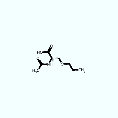 CCCSC[C@H](NC(C)=O)C(=O)O